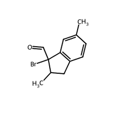 Cc1ccc2c(c1)C(Br)(C=O)C(C)C2